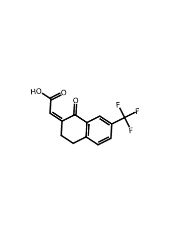 O=C(O)C=C1CCc2ccc(C(F)(F)F)cc2C1=O